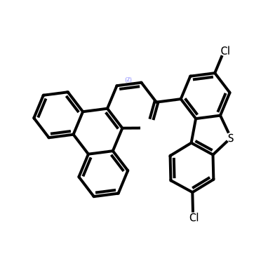 C=C(/C=C\c1c(C)c2ccccc2c2ccccc12)c1cc(Cl)cc2sc3cc(Cl)ccc3c12